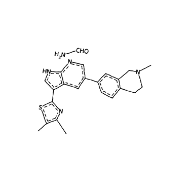 Cc1nc(-c2c[nH]c3ncc(-c4ccc5c(c4)CN(C)CC5)cc23)sc1C.NC=O